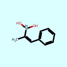 CC(=Cc1ccccc1)[SiH](O)O